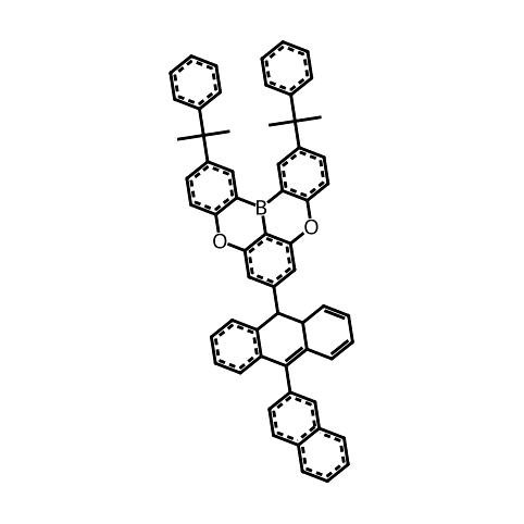 CC(C)(c1ccccc1)c1ccc2c(c1)B1c3cc(C(C)(C)c4ccccc4)ccc3Oc3cc(C4c5ccccc5C(c5ccc6ccccc6c5)=C5C=CC=CC54)cc(c31)O2